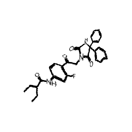 CCC(CC)C(=O)Nc1ccc(C(=O)CN2C(=O)NC(c3ccccc3)(c3ccccc3)C2=O)c(F)c1